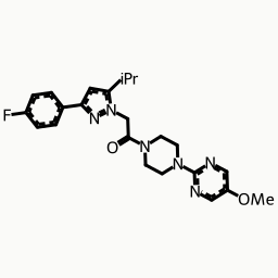 COc1cnc(N2CCN(C(=O)Cn3nc(-c4ccc(F)cc4)cc3C(C)C)CC2)nc1